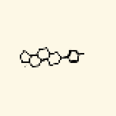 C[C@@]12CCC[C@H]1[C@@H]1CCC3CC(c4ccc(C=O)cc4)CCC3=C1CC2